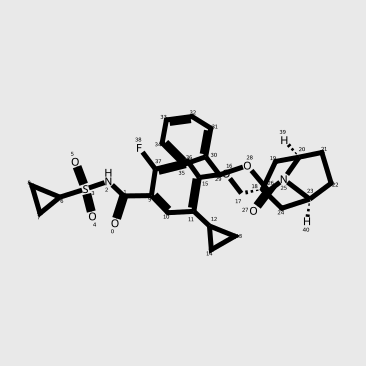 O=C(NS(=O)(=O)C1CC1)c1cc(C2CC2)c(OC[C@@H]2C[C@H]3CC[C@@H](C2)N3C(=O)OCc2ccccc2)cc1F